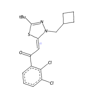 CC(C)(C)C1=NN(CC2CCC2)/C(=C/C(=O)c2cccc(Cl)c2Cl)S1